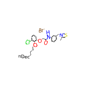 CCCCCCCCCCCCCCOc1c(Cl)cccc1OCC(=O)Nc1cccc(C[n+]2cscc2C)c1.[Br-]